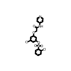 O=C(COc1cc(Cl)cc(OS(=O)(=O)c2ccccc2Cl)c1)Nc1ccncc1